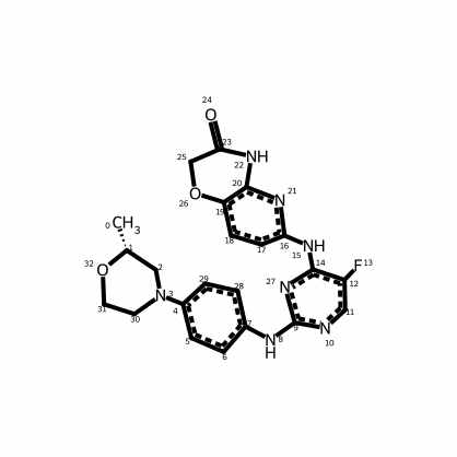 C[C@@H]1CN(c2ccc(Nc3ncc(F)c(Nc4ccc5c(n4)NC(=O)CO5)n3)cc2)CCO1